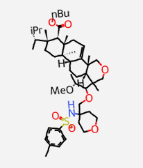 CCCCOC(=O)[C@@H]1[C@@](C)([C@H](C)C(C)C)CC[C@]2(C)[C@H]3CC[C@H]4C(C)([C@@H](OCC5(NS(=O)(=O)c6ccc(C)cc6)CCOCC5)[C@@H](C)OC)COC[C@@]4(C)C3=CC[C@@]12C